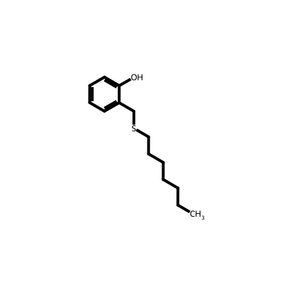 CCCCCCCSCc1ccccc1O